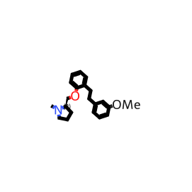 COc1cccc(CCc2ccccc2OC[C@H]2CCCN2C)c1